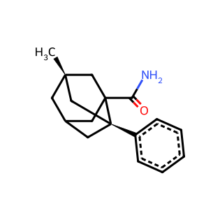 C[C@@]12CC3CC(C(N)=O)(C1)[C@](c1ccccc1)(C3)C2